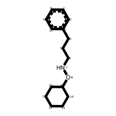 c1ccc(CCCNOC2CCCCC2)cc1